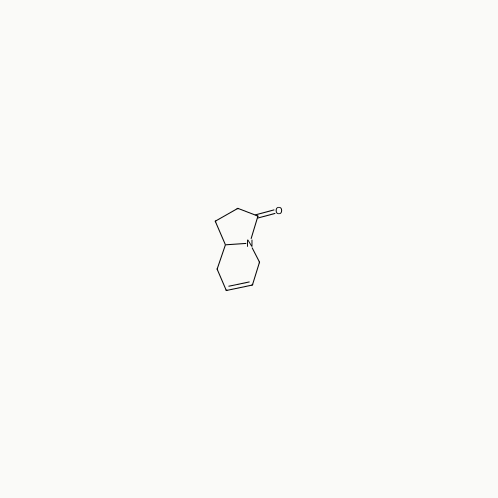 O=C1CCC2CC=CCN12